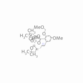 CCCCOC[C@H]1OC(C)(C)C[C@H]1C/C=C/c1cc(OC)cc(OCOC)c1C(=O)OCC[Si](C)(C)C